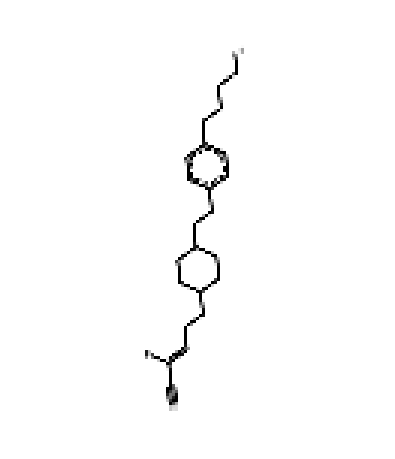 CCCCCc1ccc(CCC2CCC(CCC=C(F)C#N)CC2)cc1